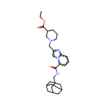 CCOC(=O)C1CCCN(Cc2cn3c(C(=O)NCC45CC6CC(CC(C6)C4)C5)cccc3n2)C1